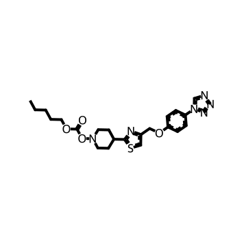 CCCCCOC(=O)ON1CCC(c2nc(COc3ccc(-n4cnnn4)cc3)cs2)CC1